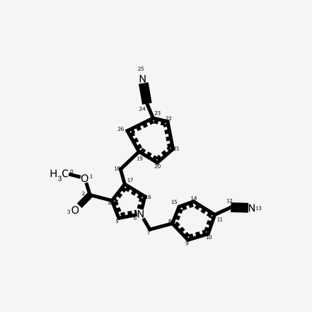 COC(=O)c1cn(Cc2ccc(C#N)cc2)cc1Cc1cccc(C#N)c1